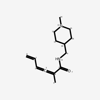 C=CC=C=C(C)C(=O)NCC1CCN(C)CC1